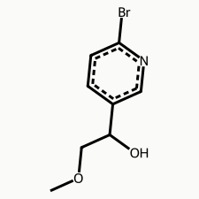 COCC(O)c1ccc(Br)nc1